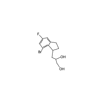 OCC(O)CC1CCc2cc(F)cc(Br)c21